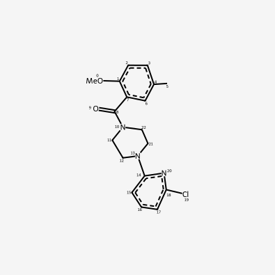 COc1ccc(C)cc1C(=O)N1CCN(c2cccc(Cl)n2)CC1